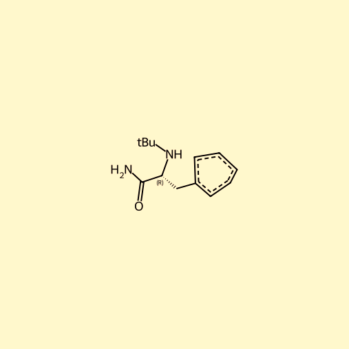 CC(C)(C)N[C@H](Cc1ccccc1)C(N)=O